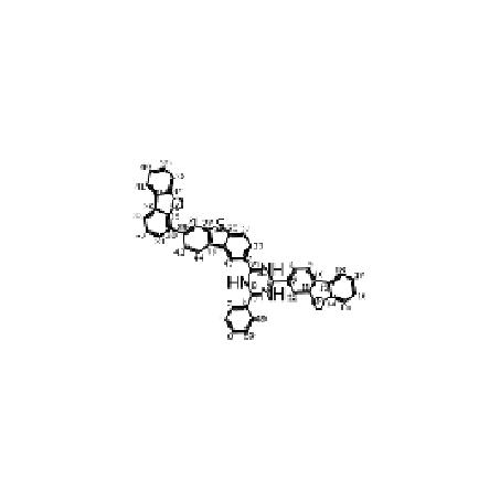 c1ccc(C2NC(c3ccc4c(c3)oc3ccccc34)NC(c3ccc4sc5cc(-c6cccc7c6oc6ccccc67)ccc5c4c3)N2)cc1